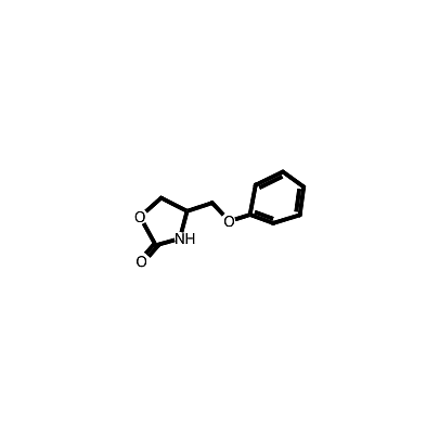 O=C1NC(COc2ccccc2)CO1